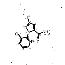 NC(=O)c1cc(I)nn1-c1ncccc1Cl